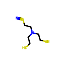 N#SCCN(CCS)CCS